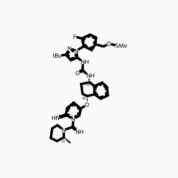 CSOCc1ccc(F)c(-n2nc(C(C)(C)C)cc2NC(=O)N[C@H]2CC[C@@H](Oc3ccc(=N)n(C(=N)N4CCCC[C@@H]4C)c3)c3ccccc32)c1